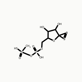 CP(=O)(S)OP(=O)(O)OCC1OC2(B=B2)C(O)C1O